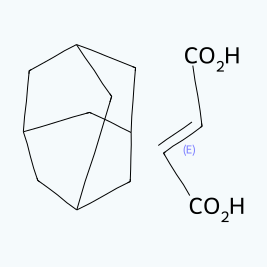 C1C2CC3CC1CC(C2)C3.O=C(O)/C=C/C(=O)O